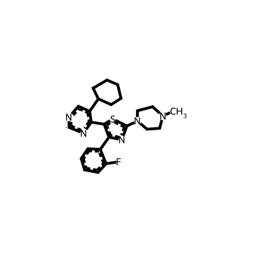 CN1CCN(c2nc(-c3ccccc3F)c(-c3n[c]ncc3C3CCCCC3)s2)CC1